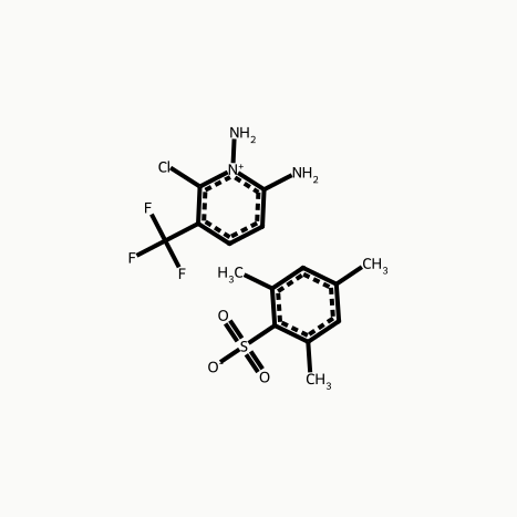 Cc1cc(C)c(S(=O)(=O)[O-])c(C)c1.Nc1ccc(C(F)(F)F)c(Cl)[n+]1N